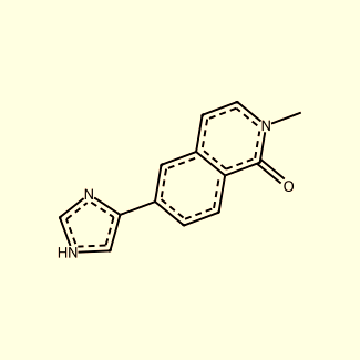 Cn1ccc2cc(-c3c[nH]cn3)ccc2c1=O